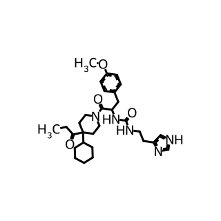 CCC(=O)C1(C2CCCCC2)CCN(C(=O)C(Cc2ccc(OC)cc2)NC(=O)NCCc2c[nH]cn2)CC1